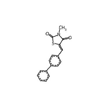 CN1C(=O)S/C(=C\c2ccc(-c3ccccc3)cc2)C1=O